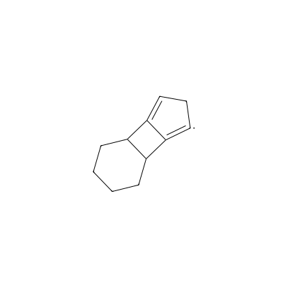 [C]1=C2C(=CC1)C1CCCCC21